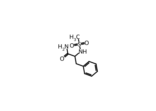 CS(=O)(=O)NC(Cc1ccccc1)C(N)=O